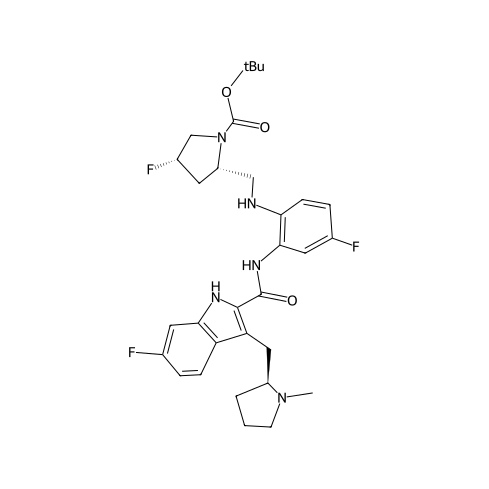 CN1CCC[C@H]1Cc1c(C(=O)Nc2cc(F)ccc2NC[C@@H]2C[C@H](F)CN2C(=O)OC(C)(C)C)[nH]c2cc(F)ccc12